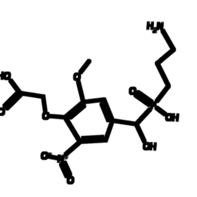 COc1cc(C(O)P(=O)(O)CCCN)cc([N+](=O)[O-])c1OCC(=O)O